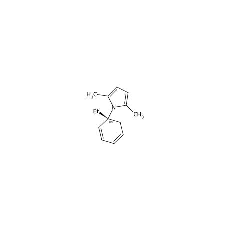 CC[C@]1(n2c(C)ccc2C)C=CC=CC1